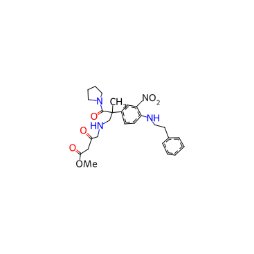 COC(=O)CC(=O)CNCC(C)(C(=O)N1CCCC1)c1ccc(NCCc2ccccc2)c([N+](=O)[O-])c1